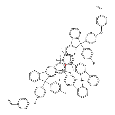 C=Cc1ccc(Oc2ccc(C3(c4ccc(F)cc4)c4ccccc4-c4ccc(N(c5ccc6c(c5)C5(c7ccccc7-6)c6ccccc6-c6ccc(N(c7ccc8c(c7)C(c7ccc(F)cc7)(c7ccc(Oc9ccc(C=C)cc9)cc7)c7ccccc7-8)c7c(F)ccc(F)c7F)cc65)c5c(F)ccc(F)c5F)cc43)cc2)cc1